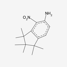 CC1(C)c2ccc(N)c([N+](=O)[O-])c2C(C)(C)C1(C)C